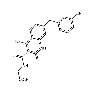 N#Cc1cccc(Cc2ccc3c(O)c(C(=O)NCC(=O)O)c(=O)[nH]c3c2)c1